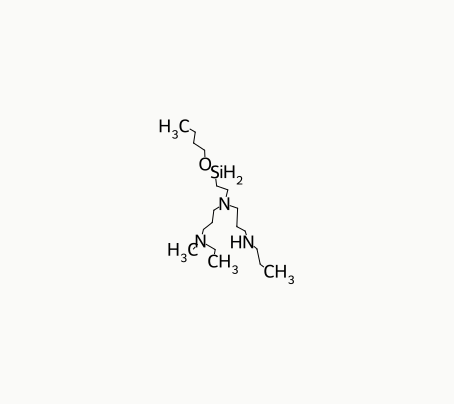 CCCCO[SiH2]CCN(CCCNCCC)CCCN(C)CC